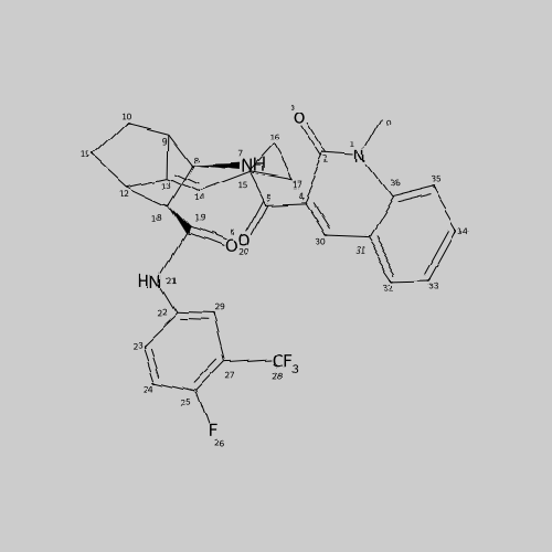 Cn1c(=O)c(C(=O)N[C@@H]2C3CCC(/C3=C/C3CC3)[C@@H]2C(=O)Nc2ccc(F)c(C(F)(F)F)c2)cc2ccccc21